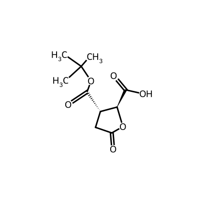 CC(C)(C)OC(=O)[C@H]1CC(=O)O[C@@H]1C(=O)O